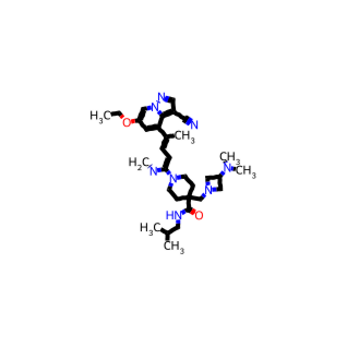 C=N/C(=C\C=C(/C)c1cc(OCC)cn2ncc(C#N)c12)N1CCC(CN2CC(N(C)C)C2)(C(=O)NCC(C)C)CC1